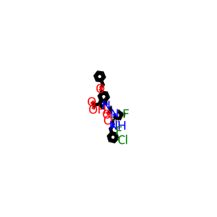 O=C(O)c1cn(CC(=O)N2C[C@H](F)C[C@H]2C(=O)NCc2cccc(Cl)c2F)c2ccc(OCc3ccccc3)cc12